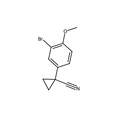 COc1ccc(C2(C#N)CC2)cc1Br